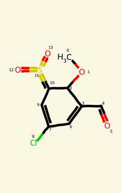 COC1C(C=O)=CC(Cl)=CC1=S(=O)=O